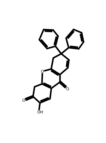 O=C1Cc2oc3c(c(=O)c2C=C1O)C=CC(c1ccccc1)(c1ccccc1)C3